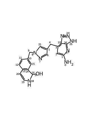 Nc1cc(Cc2cnn(Cc3ccc4c(c3)C(O)NC=C4)c2)c2nn[nH]c2n1